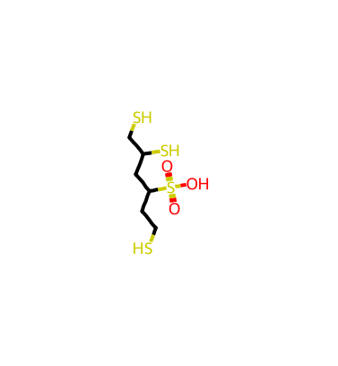 O=S(=O)(O)C(CCS)CC(S)CS